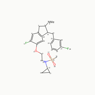 CNC1Cc2cc(F)c(OCCN(C3CC3)S(C)(=O)=O)cc2C1Cc1cccc(F)c1